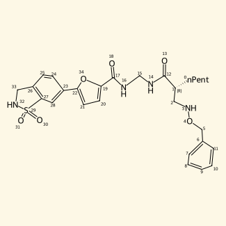 CCCCC[C@H](CNOCc1ccccc1)C(=O)NCNC(=O)c1ccc(-c2ccc3c(c2)S(=O)(=O)NC3)o1